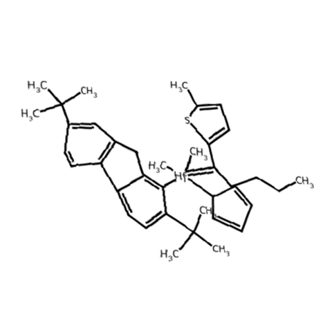 CCCC[C](c1ccc(C)s1)=[Hf]([CH3])([CH3])([c]1c(C(C)(C)C)ccc2c1Cc1cc(C(C)(C)C)ccc1-2)[CH]1C=CC=C1